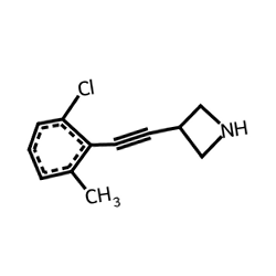 Cc1cccc(Cl)c1C#CC1CNC1